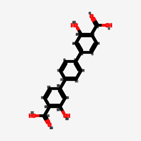 O=C(O)c1ccc(-c2ccc(-c3ccc(C(=O)O)c(O)c3)cc2)cc1O